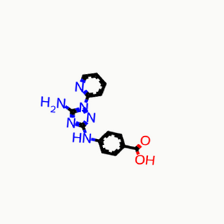 Nc1nc(Nc2ccc(C(=O)O)cc2)nn1-c1ccccn1